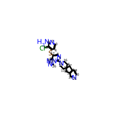 Nc1nccc(Sc2cnc(N3CCC4(CC3)Cc3ccncc3C4)n3cnnc23)c1Cl